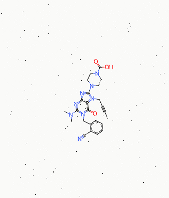 CC#CCn1c(N2CCN(C(=O)O)CC2)nc2nc(N(C)C)n(Cc3ccccc3C#N)c(=O)c21